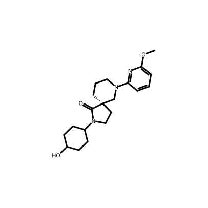 COc1cc[c]c(N2CCC[C@@]3(CCN(C4CCC(O)CC4)C3=O)C2)n1